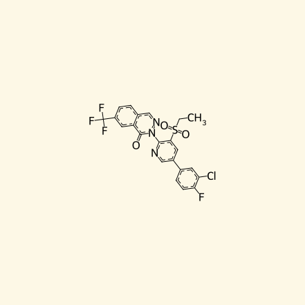 CCS(=O)(=O)c1cc(-c2ccc(F)c(Cl)c2)cnc1-n1ncc2ccc(C(F)(F)F)cc2c1=O